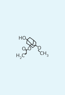 C=CC(=O)OC12CC3CC(O)(CC(OCC)(C3)C1)C2